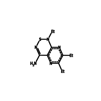 CCc1nc2c(nc1CC)N(CC)SN=C2N